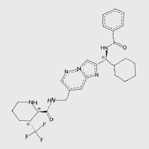 O=C(N[C@H](c1cn2ncc(CNC(=O)[C@@H]3NCCC[C@H]3C(F)(F)F)cc2n1)C1CCCCC1)c1ccccc1